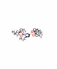 C[C@@H]1C=C(B2OC(C)(C)C(C)(C)O2)CN1C(=O)OC(C)(C)C